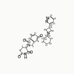 O=C1CCC(N2Cc3cc(O[C@H]4CCCC[C@@H]4N4CC(c5cccnn5)C4)ccc3C2=O)C(=O)N1